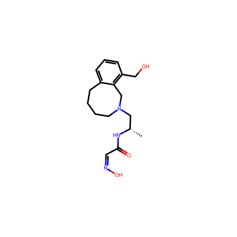 C[C@@H](CN1CCCCc2cccc(CO)c2C1)NC(=O)/C=N\O